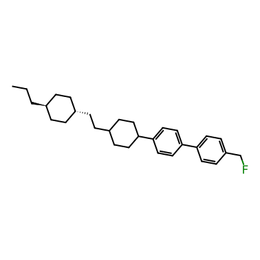 CCC[C@H]1CC[C@H](CCC2CCC(c3ccc(-c4ccc(CF)cc4)cc3)CC2)CC1